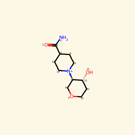 NC(=O)C1CCN([C@@H]2COCC[C@H]2O)CC1